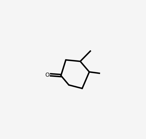 CC1CCC(=O)CC1C